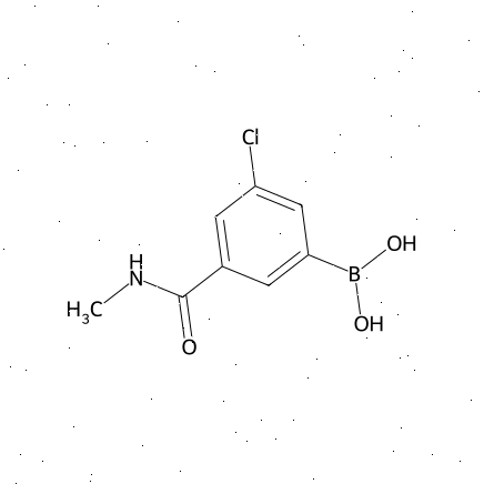 CNC(=O)c1cc(Cl)cc(B(O)O)c1